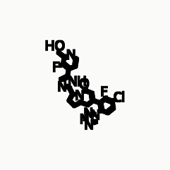 O=C1C=C(c2c(-n3cnnn3)ccc(Cl)c2F)CC2CCC(c3ncc(-c4ccnc(CO)c4F)[nH]3)N12